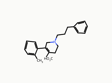 Cc1ccccc1C1=C(C(=O)O)CCN(CCCc2ccccc2)C1